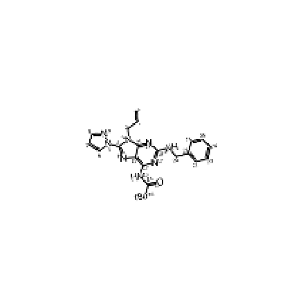 C=CCn1c(-n2cccn2)nc2c(NC(=O)C(C)(C)C)nc(NCc3ccccc3)nc21